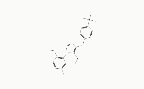 CCc1c(Sc2ccc(C(C)(C)C)cc2)nnn1-c1cc(C)ccc1OC